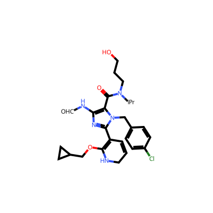 CC(C)N(CCCO)C(=O)c1c(NC=O)nc(C2=C(OCC3CC3)NCC=C2)n1Cc1ccc(Cl)cc1